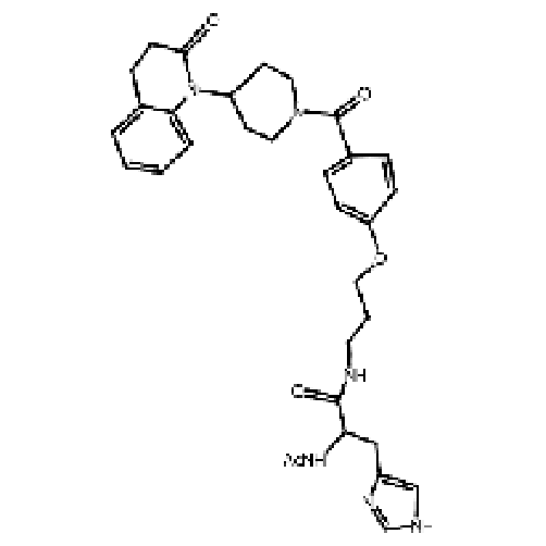 CC(=O)NC(Cc1c[nH]cn1)C(=O)NCCCOc1ccc(C(=O)N2CCC(N3C(=O)CCc4ccccc43)CC2)cc1